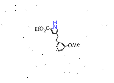 CCOC(=O)c1cc(CCc2cccc(OC)c2)c[nH]1